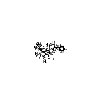 CNC(C(=O)NC(C(=O)N(C)C(C=C(C)C(=O)NS(C)(=O)=O)C(C)C)C(C)(C)C)C(C)(C)c1ccccc1